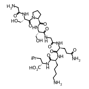 CC(C)C[C@H](NC(=O)[C@H](CCCCN)NC(=O)[C@H](CCC(N)=O)NC(=O)CNC(=O)[C@H](CO)NC(=O)[C@@H]1CCCN1C(=O)[C@H](CO)NC(=O)CN)C(=O)O